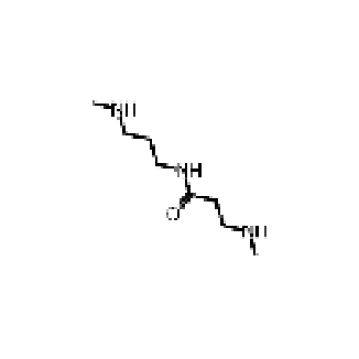 CNCCCNC(=O)CCNC